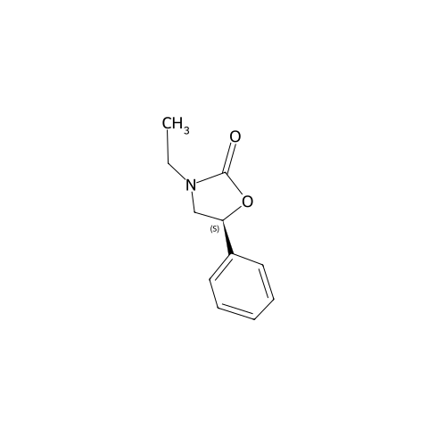 CCN1C[C@H](c2ccccc2)OC1=O